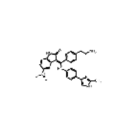 Cc1nc(-c2ccc(NC(=C3C(=O)Nc4ccc([N+](=O)[O-])cc43)c3ccc(CCN)cc3)cc2)c[nH]1